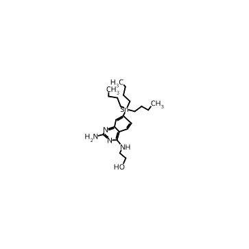 CCC[CH2][Sn]([CH2]CCC)([CH2]CCC)[c]1ccc2c(NCCO)nc(N)nc2c1